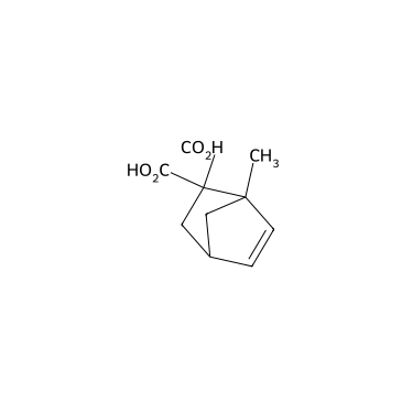 CC12C=CC(C1)CC2(C(=O)O)C(=O)O